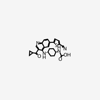 N#Cc1ccc(-c2ccc3ncc(C(=O)C4CC4)c(N[C@H]4CC[C@H](NC(=O)O)CC4)c3c2)s1